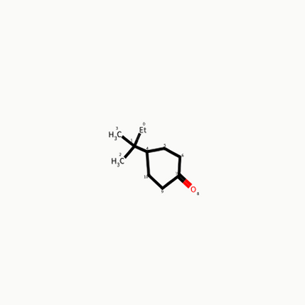 [CH2]CC(C)(C)C1CCC(=O)CC1